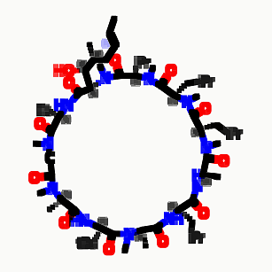 C/C=C/C[C@@H](C)[C@@H](O)[C@H]1C(=O)N[C@@H](CC)C(=O)N(C)CC(=O)N(C)[C@@H](C)C(=O)N[C@@H](C(C)(C)C)C(=O)N(C)[C@@H](C)C(=O)N[C@@H](CC(C)C)C(=O)N[C@H](C)C(=O)N(C)[C@@H](CC(C)C)C(=O)N(C)[C@@H](CC(C)C)C(=O)N(C)[C@@H](C(C)C)C(=O)N1C